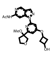 COC1(c2cc(OC3CC(O)C3)cc(-n3ncc4cnc(NC(C)=O)cc43)n2)CCOC1